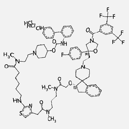 CN(CCN1CCC(OC(=O)Nc2ccccc2-c2ccccc2)CC1)C(=O)CCCCCNc1nc(CC(=O)N(C)CCCN(C)C(=O)CO[C@H]2Cc3ccccc3C23CCN(CC[C@@]2(c4ccc(F)cc4)CN(C(=O)c4cc(C(F)(F)F)cc(C(F)(F)F)c4)CO2)CC3)cs1.Cl.Cl.Cl